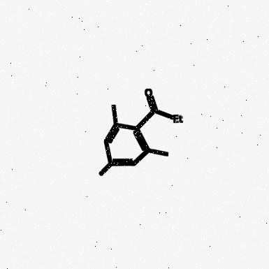 [CH2]CC(=O)c1c(C)cc(C)cc1C